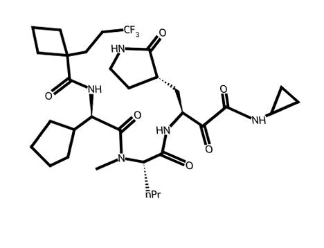 CCC[C@@H](C(=O)N[C@@H](C[C@@H]1CCNC1=O)C(=O)C(=O)NC1CC1)N(C)C(=O)[C@H](NC(=O)C1(CCC(F)(F)F)CCC1)C1CCCC1